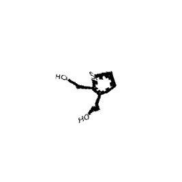 OCc1ccsc1CO